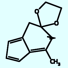 CC1=C2C=CC=C2CC2(OCCO2)C12CCC2